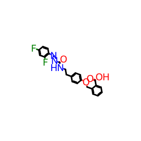 O=C(N=Nc1ccc(F)cc1F)NCCc1ccc(OCc2ccccc2C(=O)O)cc1